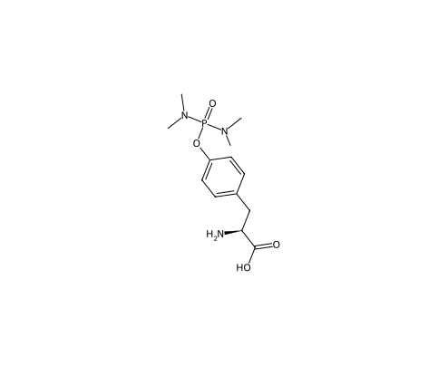 CN(C)P(=O)(Oc1ccc(C[C@H](N)C(=O)O)cc1)N(C)C